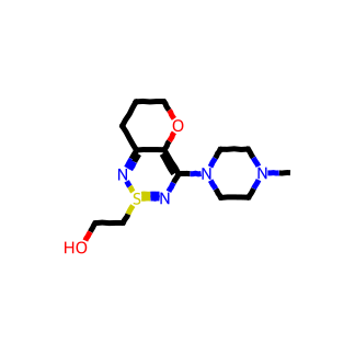 CN1CCN(C2=C3OCCCC3=NS(CCO)=N2)CC1